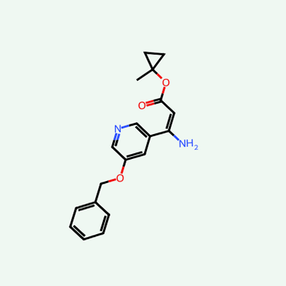 CC1(OC(=O)/C=C(/N)c2cncc(OCc3ccccc3)c2)CC1